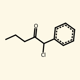 CCCC(=O)C(Cl)c1ccccc1